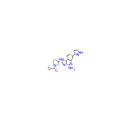 Nc1nc2cc(-c3cc[nH]n3)ccc2c2[nH]c([C@H]3CCCN(C(=O)C4CC4)C3)nc12